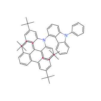 CC(C)(C)c1cc(-c2cccc3cccc(-c4ccccc4N(c4cc(C(C)(C)C)cc(C(C)(C)C)c4)c4cccc5c4c4ccccc4n5-c4ccccc4)c23)cc(C(C)(C)C)c1